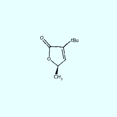 C[C@@H]1C=C(C(C)(C)C)C(=O)O1